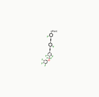 CCCCCc1ccc(C#Cc2ccc(C#CC3=CC(F)C(C(F)(F)OC4=CC(F)C(F)C(F)=C4)C(F)=C3)c(F)c2)c(F)c1